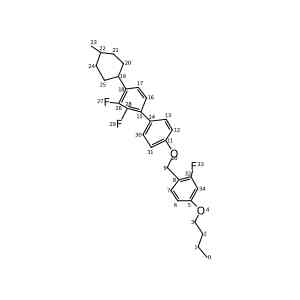 CCCCOc1ccc(COc2ccc(-c3ccc(C4CCC(C)CC4)c(F)c3F)cc2)c(F)c1